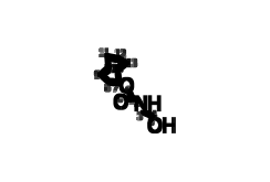 O=C(NCCO)OC1=C/C=C/C=C\C=C\1